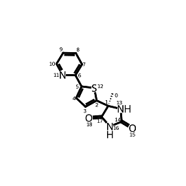 C[C@]1(c2ccc(-c3ccccn3)s2)NC(=O)NC1=O